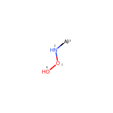 OO[NH][Al]